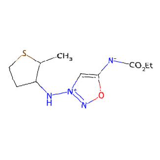 CCOC(=O)[N-]c1c[n+](NC2CCSC2C)no1